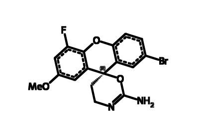 COc1cc(F)c2c(c1)[C@@]1(CCN=C(N)O1)c1cc(Br)ccc1O2